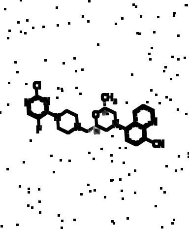 C[C@@H]1CN(c2ccc(C#N)c3ncccc23)C[C@H](CN2CCN(c3nc(Cl)ncc3F)CC2)O1